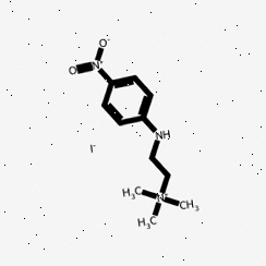 C[N+](C)(C)CCNc1ccc([N+](=O)[O-])cc1.[I-]